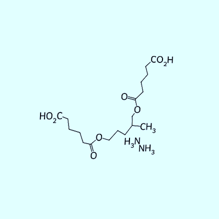 CC(CCCOC(=O)CCCCC(=O)O)COC(=O)CCCCC(=O)O.N.N